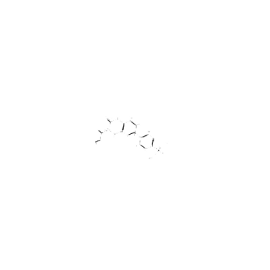 C=CC(=O)N1Cc2cc(-c3ccc(C(F)(F)F)cc3)ccc2CC1=O